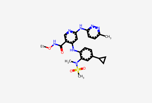 CCONC(=O)c1cnc(Nc2ccc(C)nn2)cc1Nc1ccc(C2CC2)cc1N(C)S(C)(=O)=O